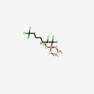 CO[Si](OC)(OC)C(F)(F)C(F)(F)CCCCC(F)(F)F